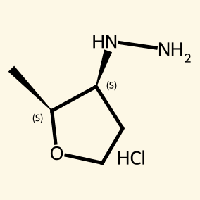 C[C@@H]1OCC[C@@H]1NN.Cl